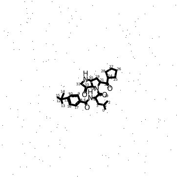 CC(C)CC(NC(=O)c1ccc(C(C)(C)C)cc1)C(=O)N1C(C(=O)C2CCCC2)CC2NCC(=O)C21